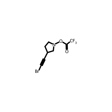 O=C(ON1CCC(C#CBr)C1)C(F)(F)F